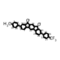 Cc1ccc(-c2ccc3c(c2)c(=O)c2cc4c(=O)c5cc(-c6ccc(C(F)(F)F)cc6)ccc5c4cc23)cc1